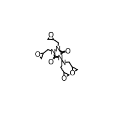 O=c1n(N(CC2CO2)CC2CO2)c(=O)n(CC2CO2)n1CC1CO1